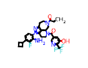 C=CC(=O)N1CCc2nn(-c3ccc(C4CCC4)c(F)c3N)c3c2C(C1)N(C(=O)c1cnc(C(F)(F)F)c(O)c1)CC3